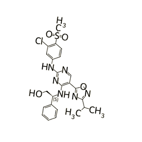 CC(C)c1noc(-c2cnc(Nc3ccc(S(C)(=O)=O)c(Cl)c3)nc2N[C@H](CO)c2ccccc2)n1